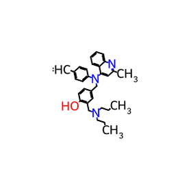 [CH]c1ccc(N(Cc2ccc(O)c(CN(CCC)CCC)c2)c2cc(C)nc3ccccc23)cc1